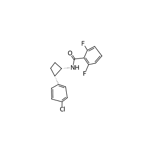 O=C(N[C@H]1CC[C@H]1c1ccc(Cl)cc1)c1c(F)cccc1F